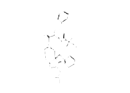 CC(C)(N)C(=O)NC(COc1ccccc1)C(=O)N1CCC2=NN(CC(F)F)C(=O)C2(Cc2ccccc2)C1